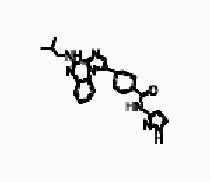 CC(C)CNc1nc2ccccc2n2c(-c3ccc(C(=O)Nc4cc[nH]n4)cc3)cnc12